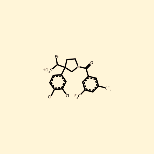 CCC(C1(c2ccc(Cl)c(Cl)c2)CCN(C(=O)c2cc(C(F)(F)F)cc(C(F)(F)F)c2)C1)S(=O)(=O)O